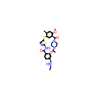 CCNCc1ccc(C(=O)Nc2ncc(Sc3cc(C(=O)N4CCN(C(C)=O)CC4)c(OC)cc3C)s2)cc1